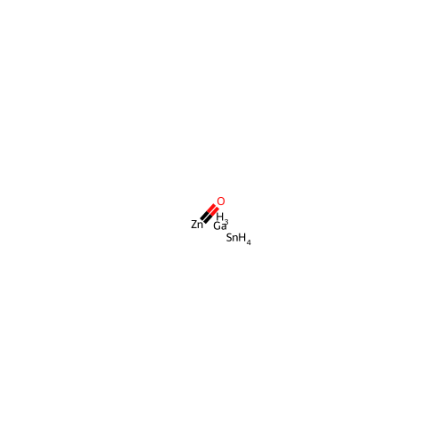 [GaH3].[O]=[Zn].[SnH4]